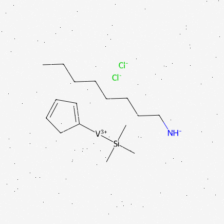 CCCCCCCC[NH-].C[Si](C)(C)[V+3][C]1=CC=CC1.[Cl-].[Cl-]